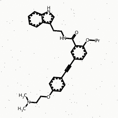 CC(C)Oc1ccc(C#Cc2ccc(OCCN(C)C)cc2)cc1C(=O)NCCc1c[nH]c2ccccc12